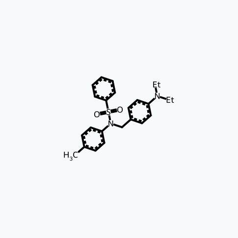 CCN(CC)c1ccc(CN(c2ccc(C)cc2)S(=O)(=O)c2ccccc2)cc1